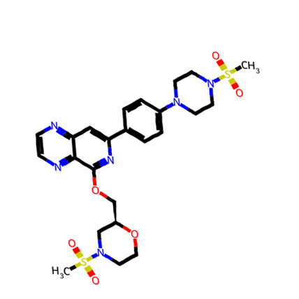 CS(=O)(=O)N1CCN(c2ccc(-c3cc4nccnc4c(OC[C@@H]4CN(S(C)(=O)=O)CCO4)n3)cc2)CC1